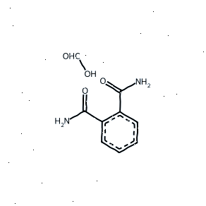 NC(=O)c1ccccc1C(N)=O.O=CO